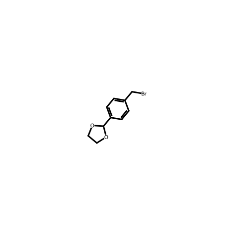 BrCc1ccc(C2OCCO2)cc1